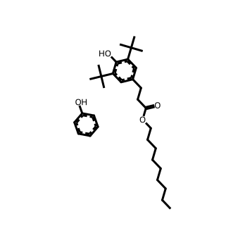 CCCCCCCCCOC(=O)CCc1cc(C(C)(C)C)c(O)c(C(C)(C)C)c1.Oc1ccccc1